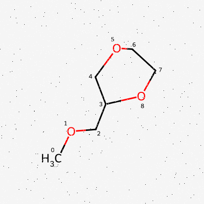 COCC1COC[CH]O1